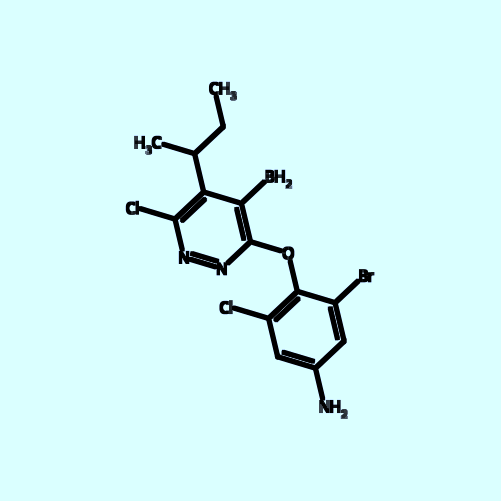 Bc1c(Oc2c(Cl)cc(N)cc2Br)nnc(Cl)c1C(C)CC